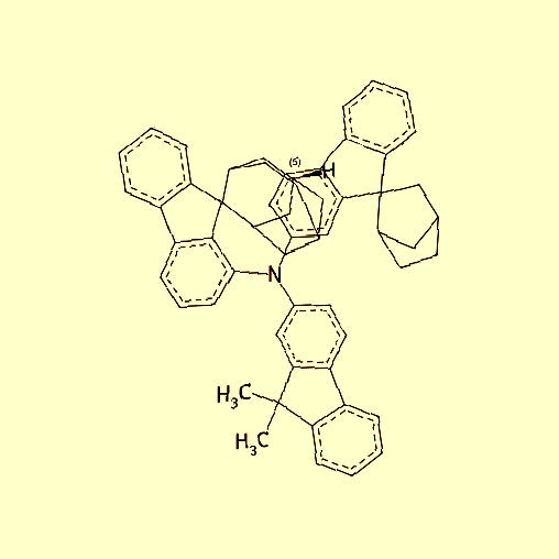 CC1(C)c2ccccc2-c2ccc(N(c3ccc4c(c3)C3(CC5CCC3C5)c3ccccc3-4)c3cccc4c3C3(c5ccccc5-4)C4CCC5CC3C[C@@H](C5)C4)cc21